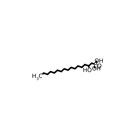 CCCCCCCCCCCCCCC(O)CP(=O)(O)O